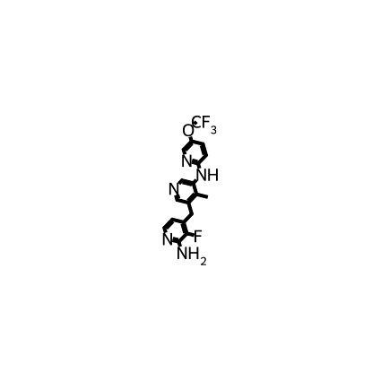 Cc1c(Cc2ccnc(N)c2F)cncc1Nc1ccc(OC(F)(F)F)cn1